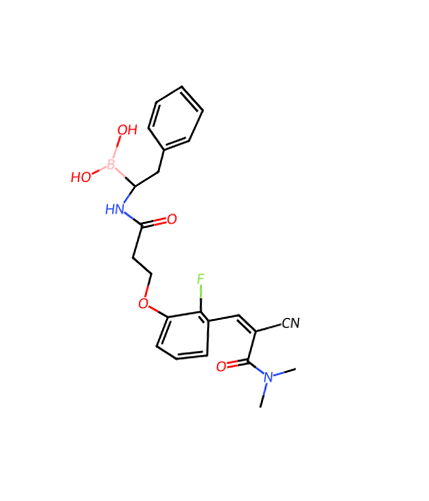 CN(C)C(=O)C(C#N)=Cc1cccc(OCCC(=O)NC(Cc2ccccc2)B(O)O)c1F